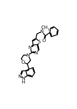 CN(Cc1cc2nc(N3CCOC(c4cccc5[nH]ncc45)C3)ncc2s1)C(=O)c1ccccc1